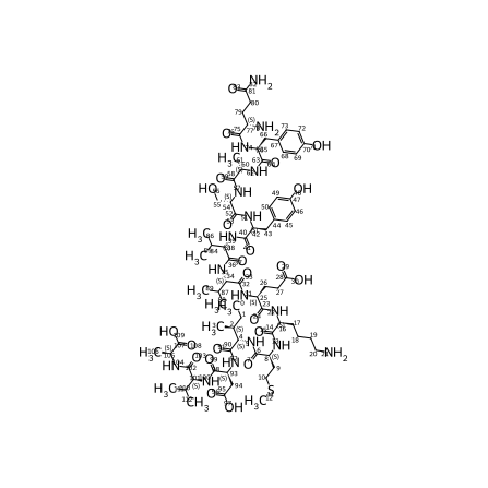 CC[C@H](C)[C@H](NC(=O)[C@H](CCSC)NC(=O)[C@H](CCCCN)NC(=O)[C@H](CCC(=O)O)NC(=O)[C@@H](NC(=O)[C@@H](NC(=O)[C@H](Cc1ccc(O)cc1)NC(=O)[C@H](CO)NC(=O)[C@H](C)NC(=O)[C@H](Cc1ccc(O)cc1)NC(=O)[C@@H](N)CCC(N)=O)C(C)C)C(C)C)C(=O)N[C@@H](CC(=O)O)C(=O)N[C@H](C(=O)N[C@@H](C)C(=O)O)C(C)C